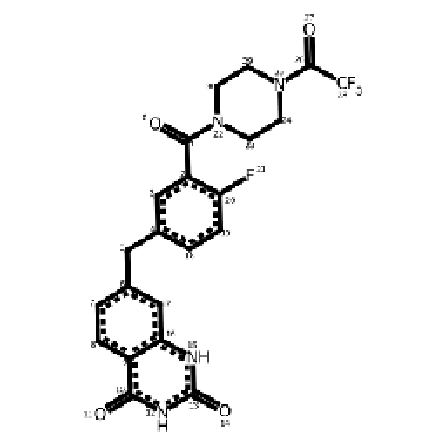 O=C(c1cc(Cc2ccc3c(=O)[nH]c(=O)[nH]c3c2)ccc1F)N1CCN(C(=O)C(F)(F)F)CC1